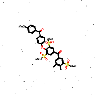 COc1ccc(C(=O)c2ccc(Oc3c(S(=O)(=O)OC)cc(C(=O)c4cc(C)c(C)c(S(=O)(=O)OC)c4)cc3S(=O)(=O)OC)cc2)cc1